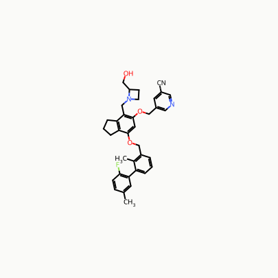 Cc1ccc(F)c(-c2cccc(COc3cc(OCc4cncc(C#N)c4)c(CN4CCC4CO)c4c3CCC4)c2C)c1